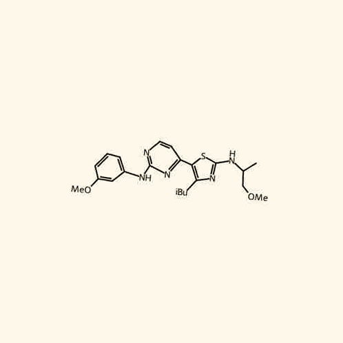 CCC(C)c1nc(NC(C)COC)sc1-c1ccnc(Nc2cccc(OC)c2)n1